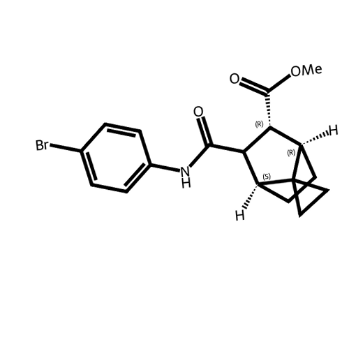 COC(=O)[C@H]1C(C(=O)Nc2ccc(Br)cc2)[C@@H]2CC[C@H]1C21CC1